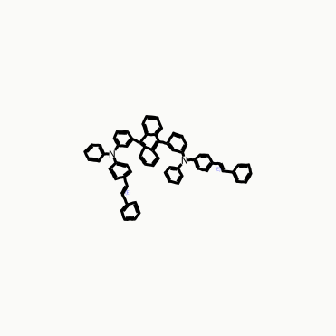 C(=C\c1ccc(N(c2ccccc2)c2cccc(-c3c4ccccc4c(-c4cccc(N(c5ccccc5)c5ccc(/C=C/c6ccccc6)cc5)c4)c4ccccc34)c2)cc1)/c1ccccc1